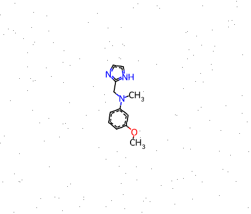 COc1cccc(N(C)Cc2ncc[nH]2)c1